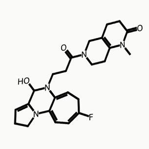 CN1C(=O)CCC2=C1CCN(C(=O)CCN1C3=CCC(F)=CC=C3N3CCC=C3C1O)C2